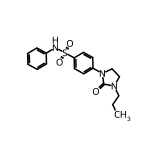 CCCN1CCN(c2ccc(S(=O)(=O)Nc3ccccc3)cc2)C1=O